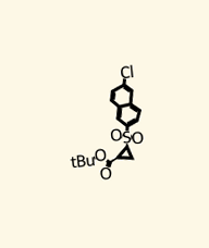 CC(C)(C)OC(=O)[C@@H]1C[C@H]1S(=O)(=O)c1ccc2cc(Cl)ccc2c1